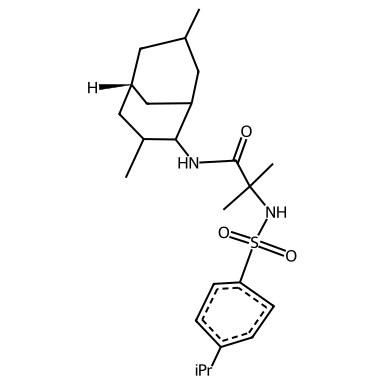 CC1CC2C[C@@H](C1)CC(C)C2NC(=O)C(C)(C)NS(=O)(=O)c1ccc(C(C)C)cc1